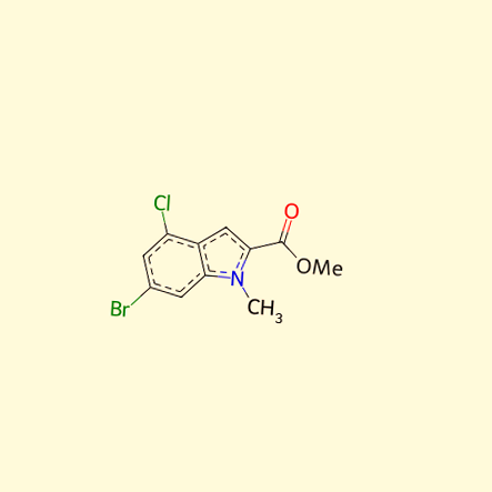 COC(=O)c1cc2c(Cl)cc(Br)cc2n1C